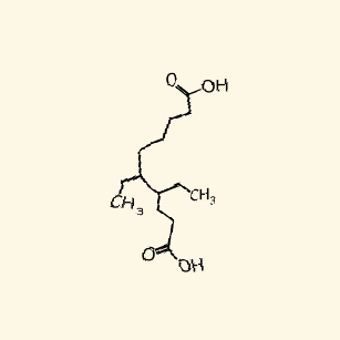 CCC(CCCCC(=O)O)C(CC)CCC(=O)O